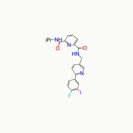 CC(C)NC(=O)c1cccc(C(=O)NCc2ccc(-c3ccc(F)c(I)c3)nc2)n1